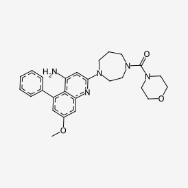 COc1cc(-c2ccccc2)c2c(N)cc(N3CCCN(C(=O)N4CCOCC4)CC3)nc2c1